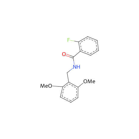 COc1cccc(OC)c1CNC(=O)c1ccccc1F